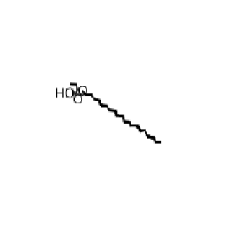 CCC=CCC=CCC=CCC=CCC=CCCCCOC(CC)C(=O)O